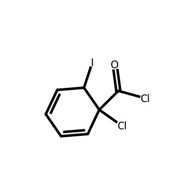 O=C(Cl)C1(Cl)C=CC=CC1I